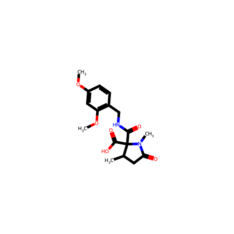 COc1ccc(CNC(=O)C2(C(=O)O)C(C)CC(=O)N2C)c(OC)c1